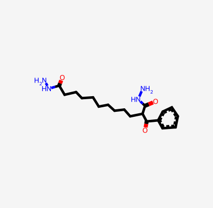 NNC(=O)CCCCCCCCCC(C(=O)NN)C(=O)c1ccccc1